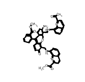 COC(=O)c1ccc2cccc(NCc3c4oc5c(CNc6cccc7ccc(C(C)=O)nc67)c(N)ccc5c(-c5ccccc5C(=O)OC)c-4ccc3=O)c2n1